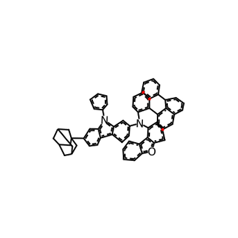 c1ccc(-c2cccc3cccc(-c4ccccc4N(c4ccc5c6ccc(C78CC9CC(CC(C9)C7)C8)cc6n(-c6ccccc6)c5c4)c4cccc5oc6ccccc6c45)c23)cc1